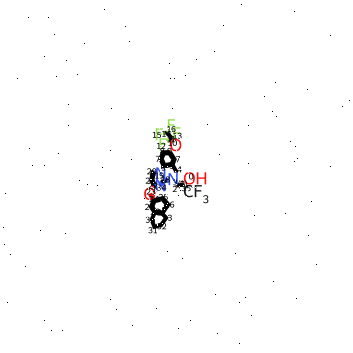 O[C@H](CN(Cc1cccc(OC(F)(F)C(F)F)c1)c1nccc(Oc2ccc3c(c2)CCCC3)n1)C(F)(F)F